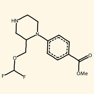 COC(=O)c1ccc(N2CCNCC2COC(F)F)cc1